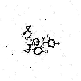 N#CC1(NC(=O)[C@@H]2C[C@@H](S(=O)(=O)c3ccc(F)cc3F)CN2C(=O)C2(c3ccc(Cl)cc3)CC2)CC1